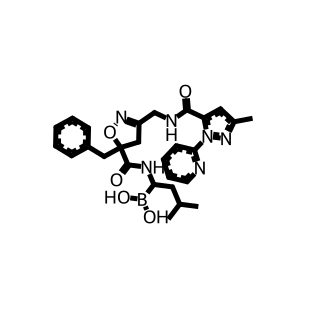 Cc1cc(C(=O)NCC2=NOC(Cc3ccccc3)(C(=O)NC(CC(C)C)B(O)O)C2)n(-c2ccccn2)n1